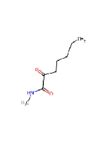 [CH2]NC(=O)C(=O)CCCCC